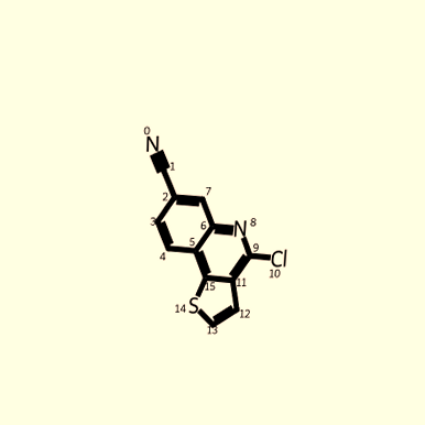 N#Cc1ccc2c(c1)nc(Cl)c1ccsc12